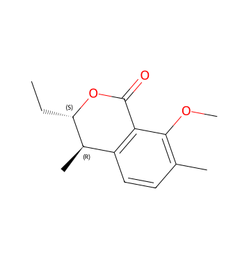 CC[C@@H]1OC(=O)c2c(ccc(C)c2OC)[C@H]1C